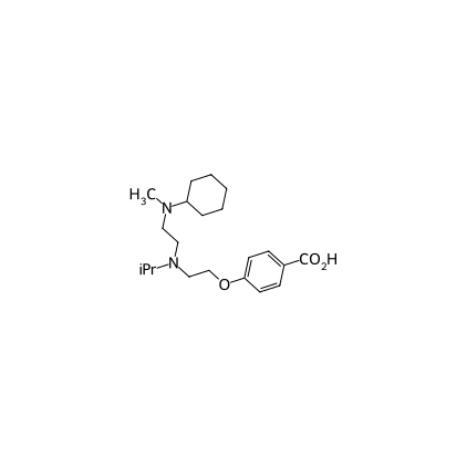 CC(C)N(CCOc1ccc(C(=O)O)cc1)CCN(C)C1CCCCC1